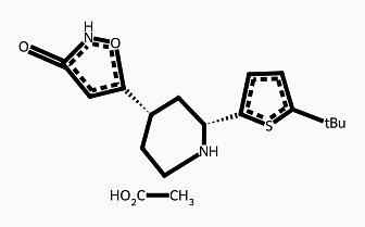 CC(=O)O.CC(C)(C)c1ccc([C@H]2C[C@@H](c3cc(=O)[nH]o3)CCN2)s1